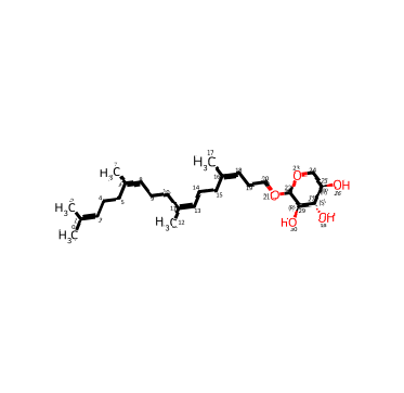 CC(C)=CCCC(C)=CCCC(C)=CCCC(C)=CCCOC1OC[C@@H](O)[C@H](O)[C@H]1O